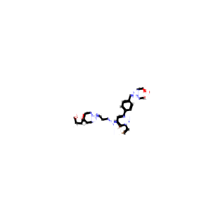 c1cc2nc(-c3ccc(CN4CCOCC4)cc3)cc(NCCCN3CCC4(CCCO4)CC3)c2s1